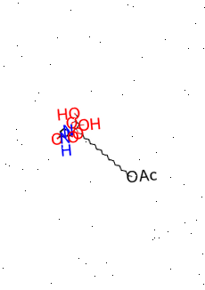 CC(=O)OCCCCCCCCCCCCCCCCO[C@@H]1[C@H](O)[C@@H](CO)O[C@H]1n1ccc(=O)[nH]c1=O